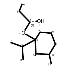 CC[C@H](O)OC1(C(C)C)CCCC(C)C1